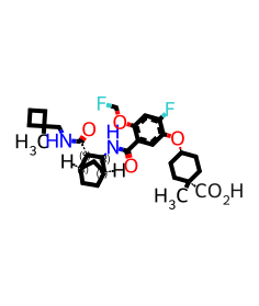 CC1(CNC(=O)[C@H]2[C@@H]3CC[C@@H](C3)[C@H]2NC(=O)c2cc(O[C@H]3CC[C@@](C)(C(=O)O)CC3)c(F)cc2OCF)CCC1